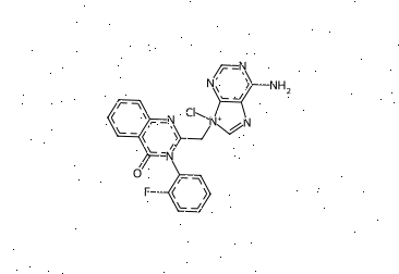 Nc1ncnc2c1N=C[N+]2(Cl)Cc1nc2ccccc2c(=O)n1-c1ccccc1F